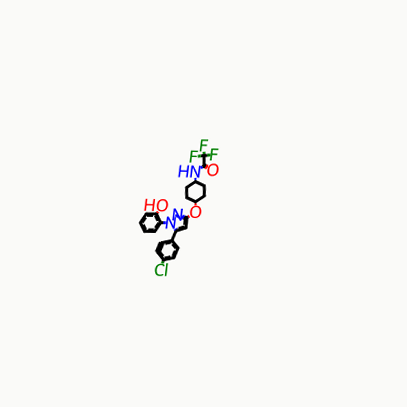 O=C(N[C@H]1CC[C@@H](Oc2cc(-c3c#cc(Cl)cc3)n(-c3ccccc3O)n2)CC1)C(F)(F)F